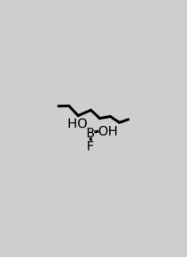 CCCCCCCC.OB(O)F